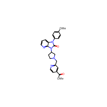 COC(=O)c1ccnc(CN2CCC(n3c(=O)n(-c4ccc(OC)cc4)c4cccnc43)C2)c1